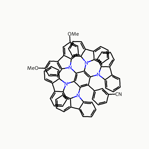 COc1ccc2c(c1)c1cc(OC)ccc1n2-c1c(-n2c3ccccc3c3ccccc32)c(-n2c3ccccc3c3ccccc32)c(-c2cccc(C#N)c2)c(-n2c3ccccc3c3ccccc32)c1-n1c2ccccc2c2ccccc21